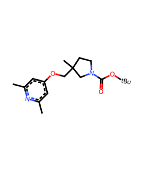 Cc1cc(OCC2(C)CCN(C(=O)OC(C)(C)C)C2)cc(C)n1